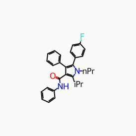 CCCn1c(-c2ccc(F)cc2)c(-c2ccccc2)c(C(=O)Nc2ccccc2)c1C(C)C